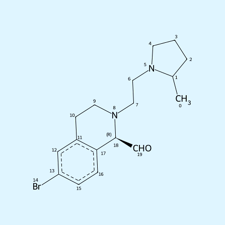 CC1CCCN1CCN1CCc2cc(Br)ccc2[C@@H]1C=O